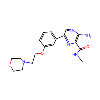 CNC(=O)c1nc(-c2cccc(OCCN3CCOCC3)c2)cnc1N